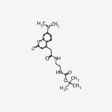 CN(C)c1ccc2c(CC(=O)NCCNC(=O)OC(C)(C)C)cc(=O)oc2c1